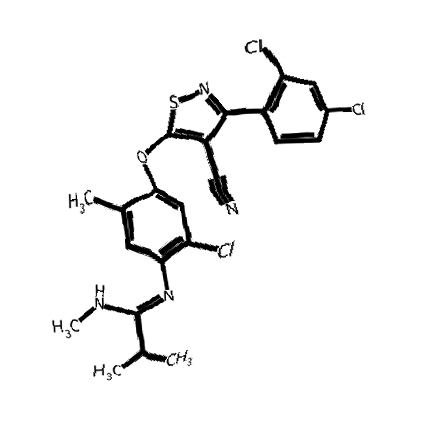 CNC(=Nc1cc(C)c(Oc2snc(-c3ccc(Cl)cc3Cl)c2C#N)cc1Cl)C(C)C